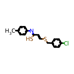 Cc1ccc(N=C(S)C=CSCc2ccc(Cl)cc2)cc1